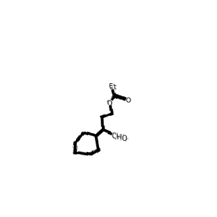 CCC(=O)OCCC([C]=O)C1CCCCC1